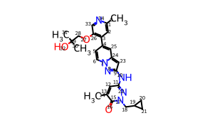 Cc1cc(-c2ccn3nc(Nc4cc(C)c(=O)n(CC5CC5)n4)cc3c2)c(OCC(C)(C)O)cn1